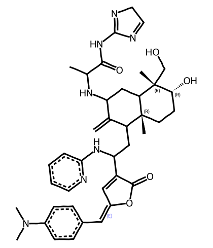 C=C1C(NC(C)C(=O)NC2=NCC=N2)CC2[C@](C)(CC[C@@H](O)[C@@]2(C)CO)C1CC(Nc1ccccn1)C1=C/C(=C\c2ccc(N(C)C)cc2)OC1=O